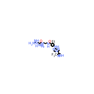 CCc1cc(Nc2nccn3c(-c4c[nH]nc4C(F)(F)F)cnc23)ccc1C(=O)NCCCNC(=O)[C@@H](N)CNC(=N)N